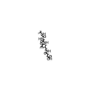 CC(C)NCC(=O)NCC(=O)N[C@@H](CCCCNC(=O)CCC(=O)O)C(=O)C(C)C